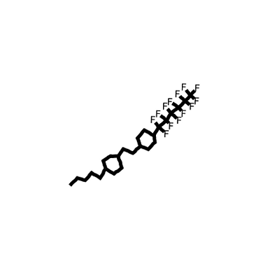 CCCCCC1CCC(CCC2CCC(C(F)(F)C(F)(F)C(F)(F)C(F)(F)C(F)(F)C(F)(F)F)CC2)CC1